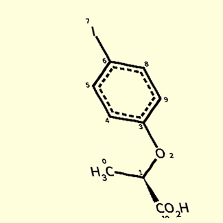 C[C@@H](Oc1ccc(I)cc1)C(=O)O